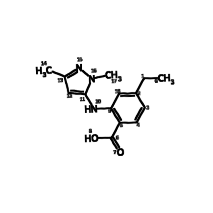 CCc1ccc(C(=O)O)c(Nc2cc(C)nn2C)c1